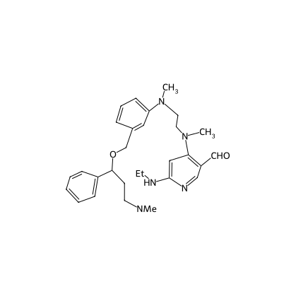 CCNc1cc(N(C)CCN(C)c2cccc(COC(CCNC)c3ccccc3)c2)c(C=O)cn1